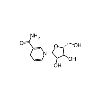 NC(=O)C1=CN([C@@H]2O[C@H](CO)C(O)C2O)C=CC1